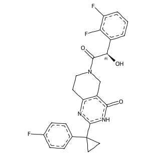 O=C([C@H](O)c1cccc(F)c1F)N1CCc2nc(C3(c4ccc(F)cc4)CC3)[nH]c(=O)c2C1